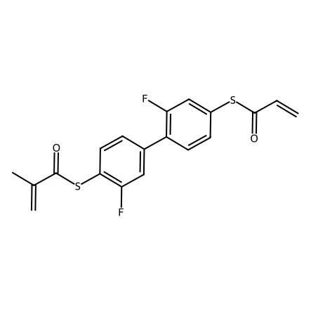 C=CC(=O)Sc1ccc(-c2ccc(SC(=O)C(=C)C)c(F)c2)c(F)c1